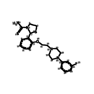 NC(=S)N1CCSC1c1ccccc1OCCN1CCN(c2cccc(F)c2)CC1